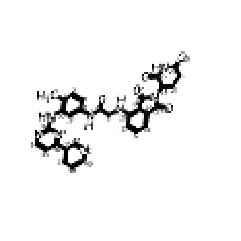 Cc1ccc(NC(=O)CNc2cccc3c2C(=O)N(C2CCC(=O)NC2=O)C3=O)cc1Nc1nccc(-c2cccnc2)n1